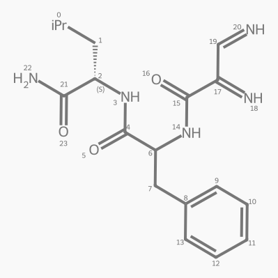 CC(C)C[C@H](NC(=O)C(Cc1ccccc1)NC(=O)C(=N)C=N)C(N)=O